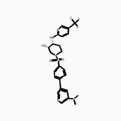 CN(C)c1cncc(-c2ccc(S(=O)(=O)N3CC[C@@H](Nc4ccc(C(F)(F)F)cn4)[C@@H](O)C3)cc2)c1